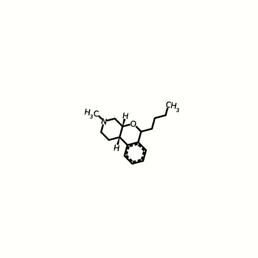 CCCCC1O[C@H]2CN(C)CC[C@H]2c2ccccc21